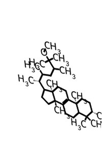 COC(C)(C)C(C)CC(C)[C@@H](C)C1CC[C@@]2(C)C3=C(CC[C@]12C)[C@@]1(C)CC[C@H](O)C(C)(C)C1CC3